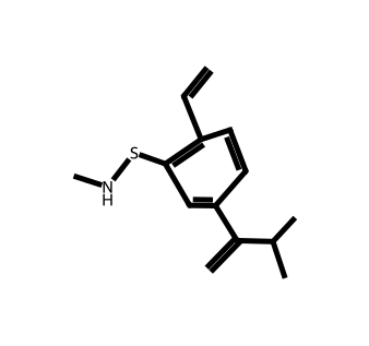 C=Cc1ccc(C(=C)C(C)C)cc1SNC